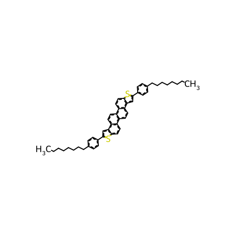 CCCCCCCCc1ccc(-c2cc3c(ccc4c3ccc3c5ccc6sc(-c7ccc(CCCCCCCC)cc7)cc6c5ccc43)s2)cc1